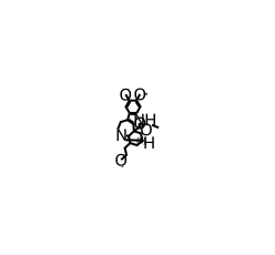 CCOC(=O)C12C[C@@H]3CC(CCOC)C1N(CCc1c2[nH]c2cc(OC)c(OC)cc12)C3